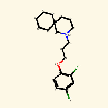 Fc1cc(Br)ccc1OCCCN1CCCC2(CCCCC2)C1